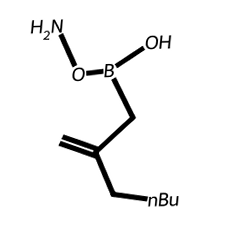 C=C(CCCCC)CB(O)ON